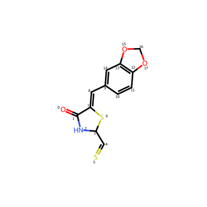 O=C1NC(C=S)S/C1=C\c1ccc2c(c1)OCO2